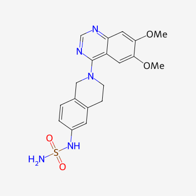 COc1cc2ncnc(N3CCc4cc(NS(N)(=O)=O)ccc4C3)c2cc1OC